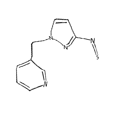 S=Nc1ccn(Cc2cccnc2)n1